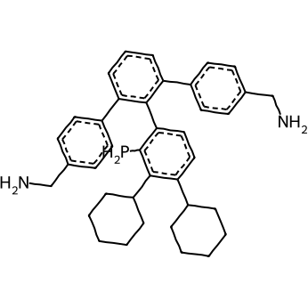 NCc1ccc(-c2cccc(-c3ccc(CN)cc3)c2-c2ccc(C3CCCCC3)c(C3CCCCC3)c2P)cc1